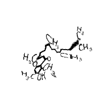 Cc1cc2c(c(C)c1O)C(=O)C[C@@](C)(CCCC(C)CCCC(C)CCCC(C)C)O2